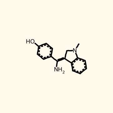 CN1CC(=C(N)c2ccc(O)cc2)c2ccccc21